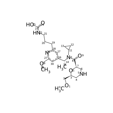 COC[C@@H]1CNC[C@H](C(=O)N(C2CC2)[C@H](C)c2cc(CCCNC(=O)O)nc(OC)c2)O1